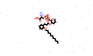 CCCCCCCCCCCOc1ccccc1CCC(=O)O[C@H]1CCCO[C@@H]1COP(=O)(O)OCC(N)C(=O)O